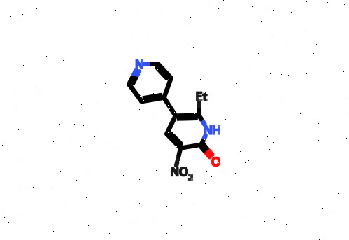 CCc1[nH]c(=O)c([N+](=O)[O-])cc1-c1ccncc1